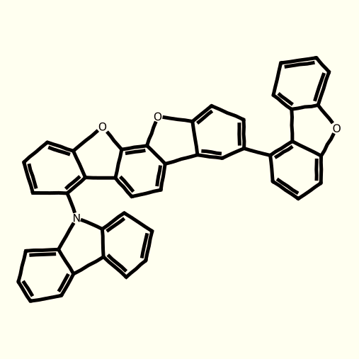 c1ccc2c(c1)oc1cccc(-c3ccc4oc5c(ccc6c5oc5cccc(-n7c8ccccc8c8ccccc87)c56)c4c3)c12